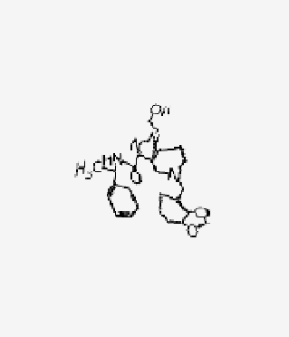 CC(NC(=O)c1nn(CCO)c2c1CN(Cc1cccc3c1OCO3)CC2)c1ccccc1